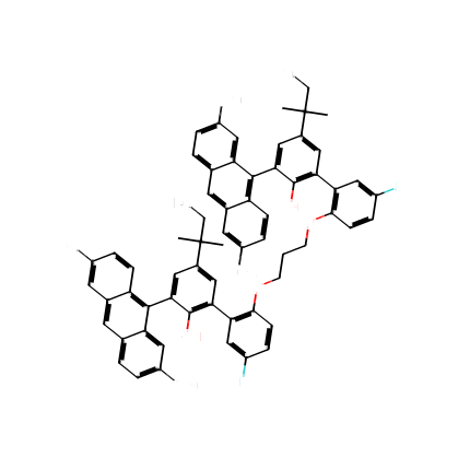 CC(C)(C)CC(C)(C)c1cc(-c2cc(F)ccc2OCCCOc2ccc(F)cc2-c2cc(C(C)(C)CC(C)(C)C)cc(-c3c4ccc(C(C)(C)C)cc4cc4ccc(C(C)(C)C)cc34)c2O)c(O)c(-c2c3ccc(C(C)(C)C)cc3cc3ccc(C(C)(C)C)cc23)c1